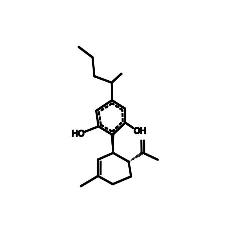 C=C(C)[C@@H]1CCC(C)=C[C@H]1c1c(O)cc(C(C)CCC)cc1O